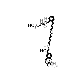 CC1(C)OCc2cc([C@H](O)CNCCCCCCOCCCCc3ccccc3CNC(=O)NCC(=O)O)ccc2O1